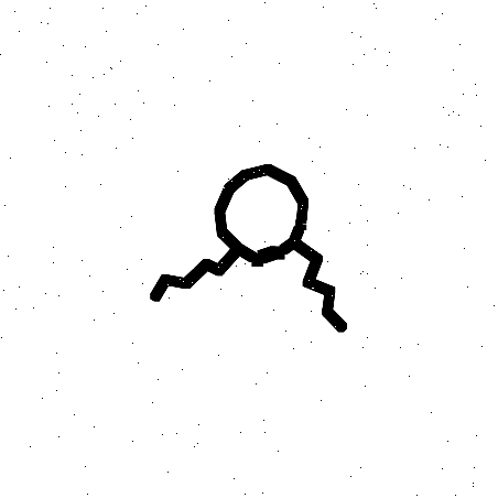 CCCCCC1CCCCCCCCC(CCCCC)N=N1